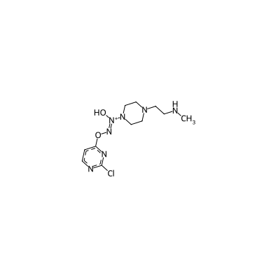 CNCCN1CCN(/[N+](O)=N/Oc2ccnc(Cl)n2)CC1